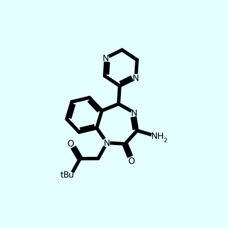 CC(C)(C)C(=O)CN1C(=O)C(N)=NC(C2=NCCN=C2)c2ccccc21